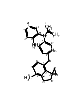 C=C(C)N(c1ccc(Cc2ccc(C)c3c2C2(CC3)CC2)nc1)c1cnccc1N